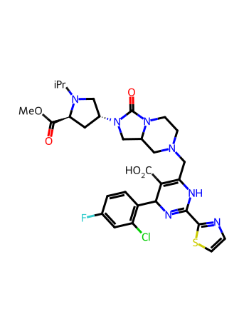 COC(=O)[C@@H]1C[C@@H](N2CC3CN(CC4=C(C(=O)O)C(c5ccc(F)cc5Cl)N=C(c5nccs5)N4)CCN3C2=O)CN1C(C)C